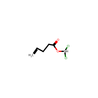 C=CCCC(=O)O[SiH](Cl)Cl